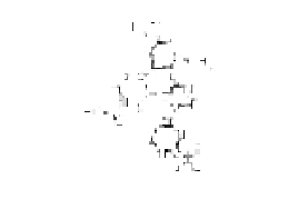 Cc1nc(C)c(-c2nnc(-c3ccnc(C(F)(F)F)n3)o2)c(C2CCN(C(=O)O)CC2)n1